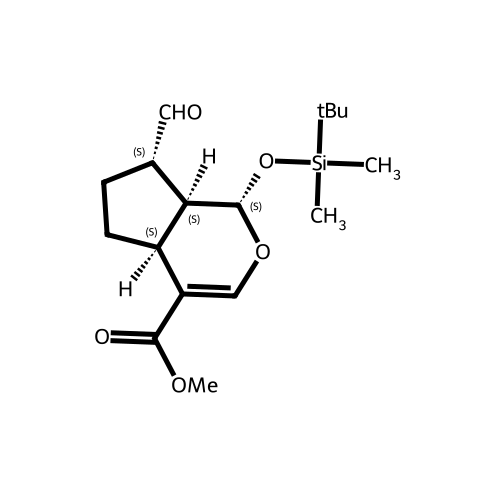 COC(=O)C1=CO[C@@H](O[Si](C)(C)C(C)(C)C)[C@H]2[C@@H]1CC[C@@H]2C=O